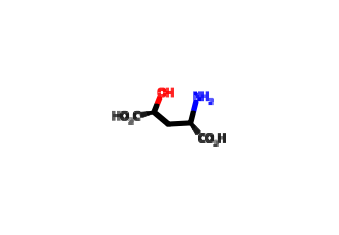 N[C@H](C[C@H](O)C(=O)O)C(=O)O